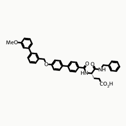 COc1cccc(-c2cccc(COc3ccc(-c4ccc(C(=O)N[C@@H](CCC(=O)O)C(=O)NCc5ccccc5)cc4)cc3)c2)c1